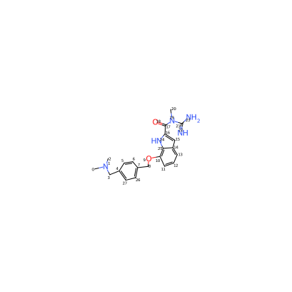 CN(C)Cc1ccc(COc2cccc3cc(C(=O)N(C)C(=N)N)[nH]c23)cc1